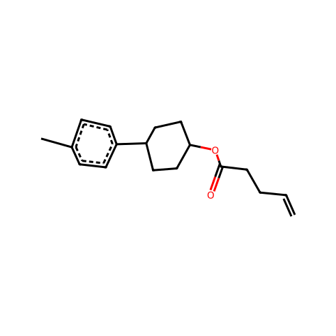 C=CCCC(=O)OC1CCC(c2ccc(C)cc2)CC1